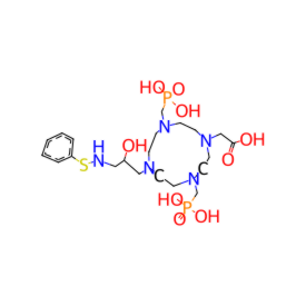 O=C(O)CN1CCN(CP(=O)(O)O)CCN(CC(O)CNSc2ccccc2)CCN(CP(=O)(O)O)CC1